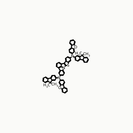 CC1(C)c2ccccc2-c2ccc(N(c3ccc4c(c3)oc3ccccc34)c3ccc4c(c3)sc3c4c4cccc5c6cc(N(c7ccc8c(c7)C(C)(C)c7ccccc7-8)c7ccc8c(c7)oc7ccccc78)ccc6n3c54)cc21